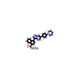 CNC(=O)c1ccc(-c2cnn3cc(-c4ccc(N5CCCCC5)cc4)cnc23)c2ccccc12